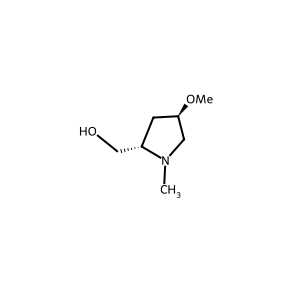 CO[C@@H]1C[C@@H](CO)N(C)C1